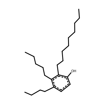 CCCCCCCCCc1c(O)ccc(CCCC)c1CCCCC